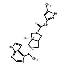 Cc1cc(NC(=O)N2CC3C[C@H](N(C)c4ncnc5[nH]ccc45)C[C@H]3C2)n[nH]1